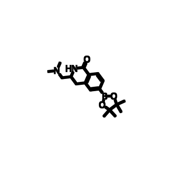 CN(C)CC1Cc2cc(B3OC(C)(C)C(C)(C)O3)ccc2C(=O)N1